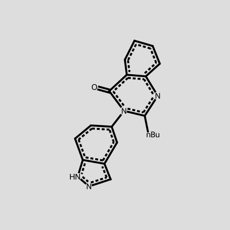 CCCCc1nc2ccccc2c(=O)n1-c1ccc2[nH]ncc2c1